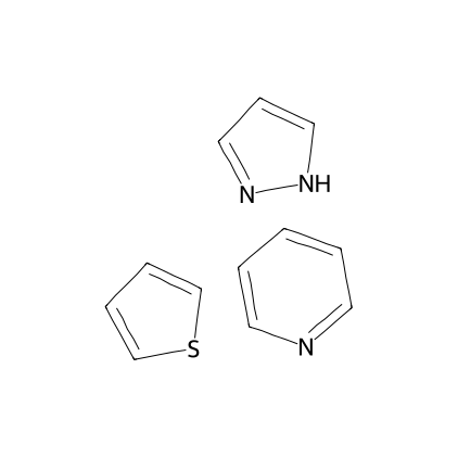 c1ccncc1.c1ccsc1.c1cn[nH]c1